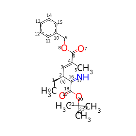 CC[C@@H](C=C(C)C(=O)OCc1ccccc1)C(=N)C(=O)OC(C)(C)C